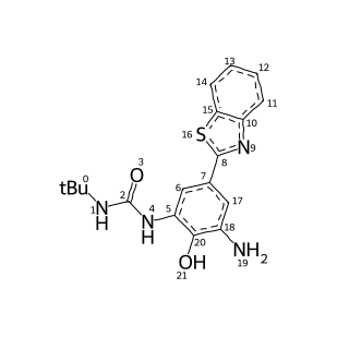 CC(C)(C)NC(=O)Nc1cc(-c2nc3ccccc3s2)cc(N)c1O